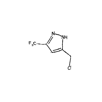 FC(F)(F)c1[c]c(CCl)[nH]n1